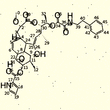 CO[C@H]1C[C@H]2C=CC3C4[C@H](O)[C@@H](C)[C@@H](OC(=O)c5ccc[nH]5)[C@@H]3O[C@]42/C(C)=C/[C@@H](C)[C@@H]([C@@H](C)OC(=O)C(=O)NCCc2ccccc2)OC1=O